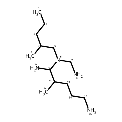 CCCC(C)CN(CN)C(N)C(C)CCCN